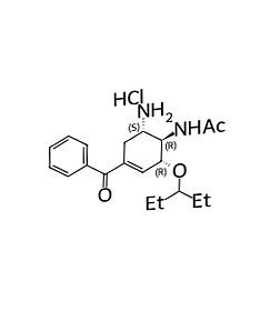 CCC(CC)O[C@@H]1C=C(C(=O)c2ccccc2)C[C@H](N)[C@H]1NC(C)=O.Cl